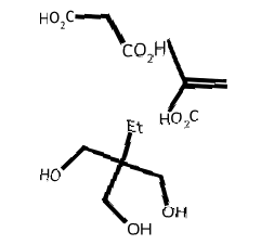 C=C(C)C(=O)O.CCC(CO)(CO)CO.O=C(O)CC(=O)O